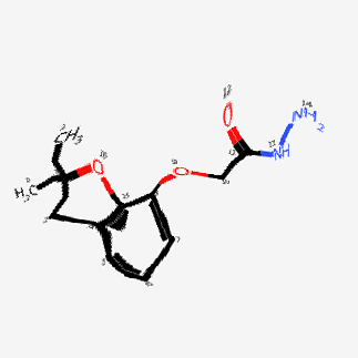 CC1(C)Cc2cccc(OCC(=O)NN)c2O1